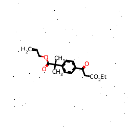 C=CCOC(=O)C(C)(C)c1ccc(C(=O)CC(=O)OCC)cc1